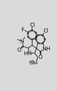 CN(C)C(=O)C1NC(CC(C)(C)C)C2(C(=O)Nc3cc(Cl)ccc32)C1c1ccc(Cl)c(F)c1